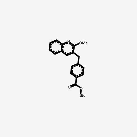 COc1nc2ccccc2cc1Cc1ccc(C(=O)OC(C)(C)C)cc1